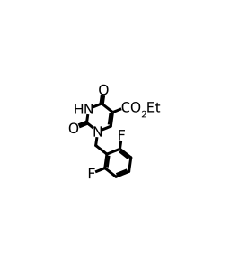 CCOC(=O)c1cn(Cc2c(F)cccc2F)c(=O)[nH]c1=O